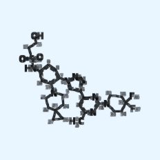 Cc1cc(-c2cn(-c3ccc(NS(=O)(=O)CCO)cc3N3CCC4(CC3)CC4)nn2)nc(N2CCC(F)(F)CC2)n1